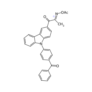 CC(=O)O/N=C(\C)C(=O)c1ccc2c(c1)c1ccccc1n2-c1ccc(C(=O)c2ccccc2)cc1